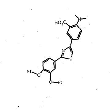 CCOc1ccc(-c2nc(-c3ccc(N(C)C)c(C(=O)O)c3)cs2)cc1OCC